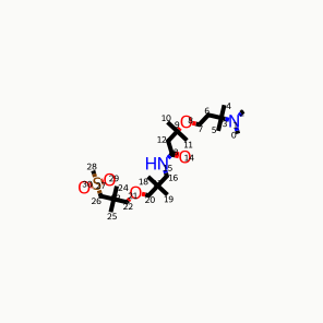 CN(C)C(C)(C)CCOC(C)(C)CC(=O)NCC(C)(C)COCC(C)(C)CS(C)(=O)=O